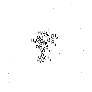 C=C(C)C(=O)OCC(COC(=O)C(=C)CC(C)(C)C(=O)OCC(COC(=O)C(=C)C)C(=C)C)OC